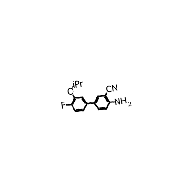 CC(C)Oc1cc(-c2ccc(N)c(C#N)c2)ccc1F